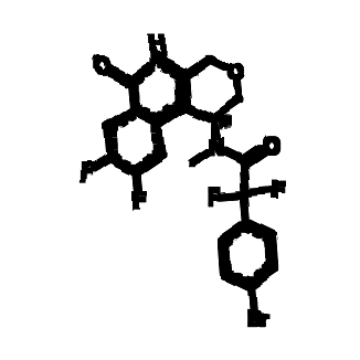 CN(C(=O)C(F)(F)c1ccc(Br)cc1)[C@@H]1COCc2[nH]c(=O)c3cc(F)c(F)cc3c21